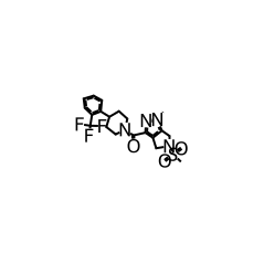 Cn1nc(C(=O)N2CCC(c3ccccc3C(F)(F)F)CC2)c2c1CN(S(C)(=O)=O)C2